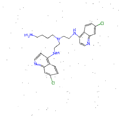 NCCCCN(CCNc1ccnc2cc(Cl)ccc12)CCNc1ccnc2cc(Cl)ccc12